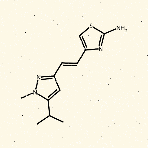 CC(C)c1cc(/C=C/c2csc(N)n2)nn1C